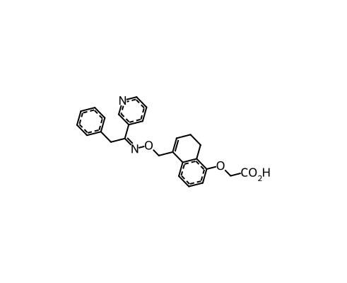 O=C(O)COc1cccc2c1CCC=C2CON=C(Cc1ccccc1)c1cccnc1